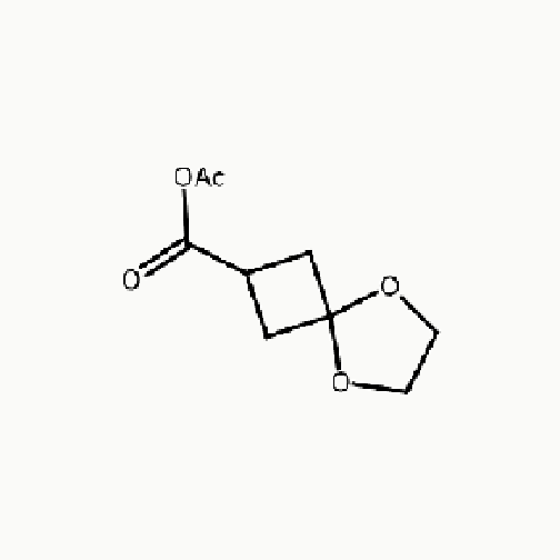 CC(=O)OC(=O)C1CC2(C1)OCCO2